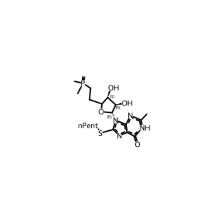 C=P(C)(C)CCC1O[C@@H](n2c(SCCCCC)nc3c(=O)[nH]c(C)nc32)[C@H](O)[C@@H]1O